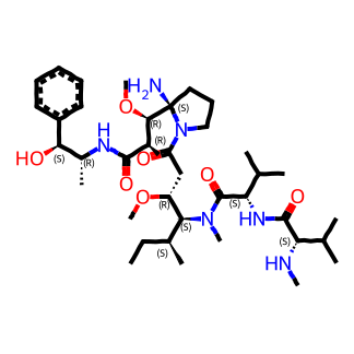 CC[C@H](C)[C@@H]([C@@H](CC(=O)N1CCC[C@@]1(N)[C@H](OC)[C@@H](C)C(=O)N[C@H](C)[C@@H](O)c1ccccc1)OC)N(C)C(=O)[C@@H](NC(=O)[C@@H](NC)C(C)C)C(C)C